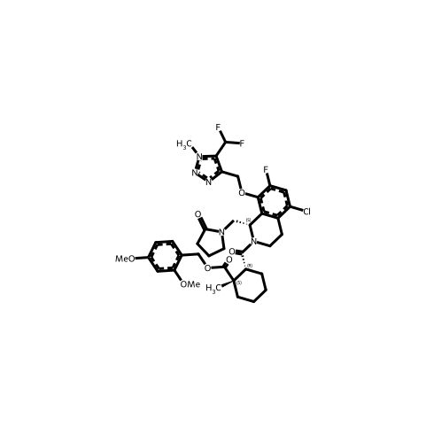 COc1ccc(COC(=O)[C@@]2(C)CCCC[C@H]2C(=O)N2CCc3c(Cl)cc(F)c(OCc4nnn(C)c4C(F)F)c3[C@H]2CN2CCCC2=O)c(OC)c1